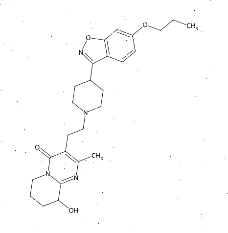 CCCOc1ccc2c(C3CCN(CCc4c(C)nc5n(c4=O)CCCC5O)CC3)noc2c1